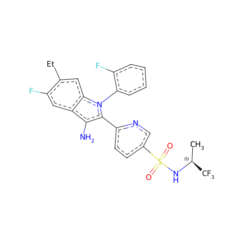 CCc1cc2c(cc1F)c(N)c(-c1ccc(S(=O)(=O)N[C@@H](C)C(F)(F)F)cn1)n2-c1ccccc1F